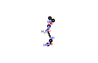 CN(CCN1CCC(OC(=O)Nc2ccccc2-c2ccccc2)CC1)C(=O)CCCCCNc1ccc(C(=O)N2CCNCC2)cc1